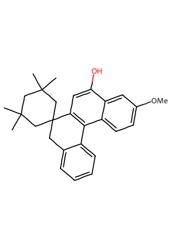 COc1ccc2c3c(cc(O)c2c1)C1(Cc2ccccc2-3)CC(C)(C)CC(C)(C)C1